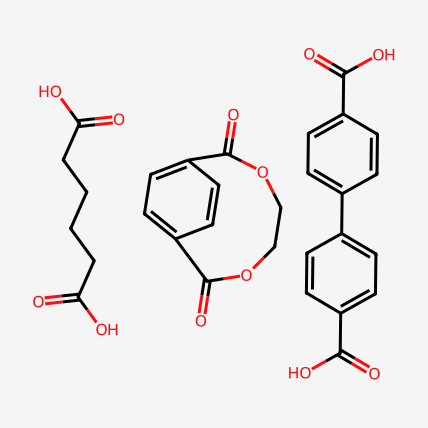 O=C(O)CCCCC(=O)O.O=C(O)c1ccc(-c2ccc(C(=O)O)cc2)cc1.O=C1OCCOC(=O)c2ccc1cc2